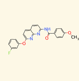 COc1ccc(C(=O)Nc2ccc3ccc(Oc4cccc(F)c4)nc3n2)cc1